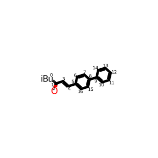 CCC(C)C(=O)/C=C/c1ccc(-c2ccccc2)cc1